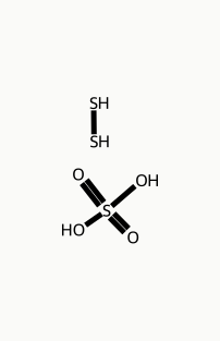 O=S(=O)(O)O.SS